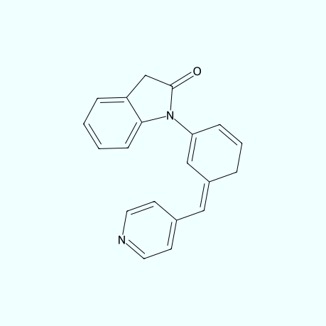 O=C1Cc2ccccc2N1C1=CC(=Cc2ccncc2)CC=C1